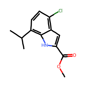 COC(=O)c1cc2c(Cl)ccc(C(C)C)c2[nH]1